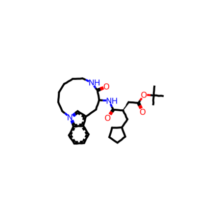 CC(C)(C)OC(=O)C[C@@H](CC1CCCC1)C(=O)NC1Cc2cn(c3ccccc23)CCCCCCNC1=O